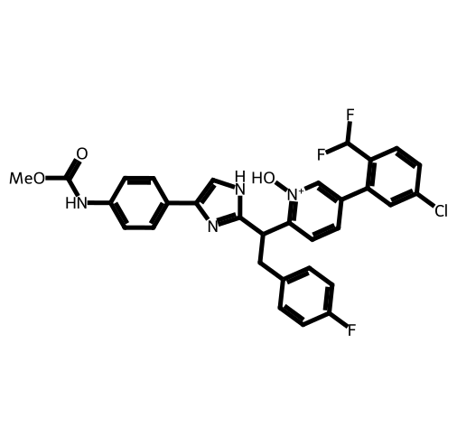 COC(=O)Nc1ccc(-c2c[nH]c(C(Cc3ccc(F)cc3)c3ccc(-c4cc(Cl)ccc4C(F)F)c[n+]3O)n2)cc1